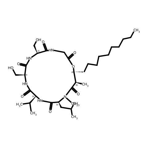 CCCCCCCCCC[C@H]1OC(=O)CNC(=O)[C@H](CO)NC(=O)[C@H](CO)NC(=O)[C@H](C(C)C)NC(=O)[C@H](CC(C)C)N(C)C(=O)[C@@H]1C